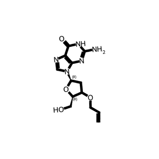 C=CCOC1C[C@H](n2cnc3c(=O)[nH]c(N)nc32)O[C@@H]1CO